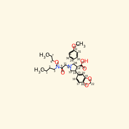 CCCCN(OCCC)C(=O)CN1CC(c2ccc3c(c2)OCO3)[C@H](C(=O)O)[C@H]1c1ccc(OC)cc1